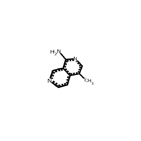 Cc1cnc(N)c2cnccc12